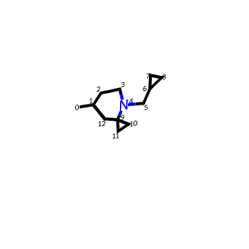 CC1CCN(CC2CC2)C2(CC2)C1